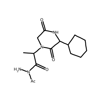 CC(=O)N(N)C(=O)C(C)N1CC(=O)NC(C2CCCCC2)C1=O